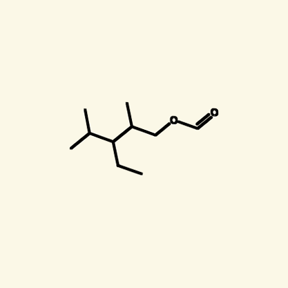 CCC(C(C)C)C(C)COC=O